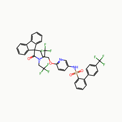 O=C(N(CC(F)(F)F)CC(F)(F)F)C1(CCCOc2ccc(NS(=O)(=O)c3ccccc3-c3ccc(C(F)(F)F)cc3)cn2)c2ccccc2-c2ccccc21